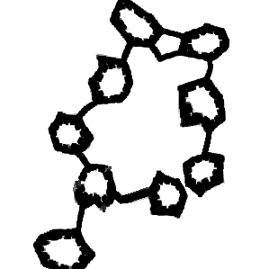 c1ccc(-c2ccc(-c3cccc4c3Cc3c(-c5ccc(-c6cccc(-c7nc(-c8ccccc8)nc(-c8ccccc8)n7)c6)cc5)cccc3-4)cc2)cc1